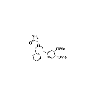 COc1ccc(CCN(CC(N)=O)Cc2ccccc2)cc1OC